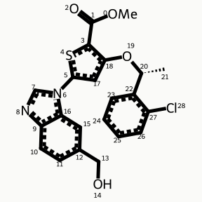 COC(=O)c1sc(-n2cnc3ccc(CO)cc32)cc1O[C@H](C)c1ccccc1Cl